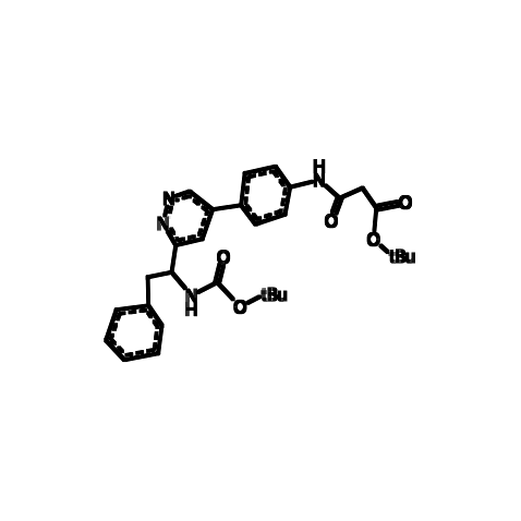 CC(C)(C)OC(=O)CC(=O)Nc1ccc(-c2cnnc(C(Cc3ccccc3)NC(=O)OC(C)(C)C)c2)cc1